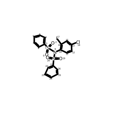 O=S(=O)(c1ccccc1)N(c1ccc(Cl)cc1I)S(=O)(=O)c1ccccc1